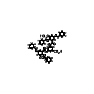 O=C(O)c1cc(NC(=O)c2cc(OCc3ccccc3)cc(C(=O)O)c2OCc2ccccc2)cc(NC(=O)c2cc(OCc3ccccc3)cc(C(=O)O)c2OCc2ccccc2)c1